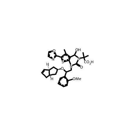 COc1ccccc1C(CN1C(=O)N(C(C)(C)C(=O)O)C(O)c2c1sc(-c1ncco1)c2C)O[C@H]1C[C@H]2CC=C[C@H]2C1